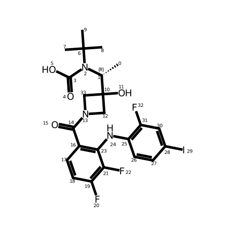 C[C@@H](N(C(=O)O)C(C)(C)C)C1(O)CN(C(=O)c2ccc(F)c(F)c2Nc2ccc(I)cc2F)C1